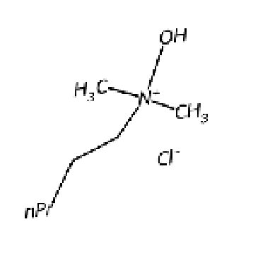 CCCCC[N+](C)(C)O.[Cl-]